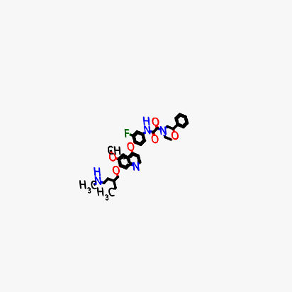 CCC(CCNC)COc1cc2nccc(Oc3ccc(NC(=O)C(=O)N4CCOC(c5ccccc5)C4)cc3F)c2cc1OC